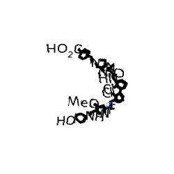 COc1cc(/C(F)=C/c2cccc(-c3cccc(NC(=O)c4nc5c(n4C)CCN(CCC46CCC(C(=O)O)(CC4)C6)C5)c3Cl)c2Cl)ncc1CNC1CCC(O)CC1